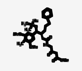 COC(=O)CC(=O)CNC(=O)C[C@H](CCCc1ccccc1)C(O[Si](C)(C)C(C)(C)C)c1cc(OC)c(C)c(OC)c1